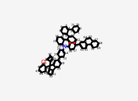 c1ccc(-c2ccccc2-c2ccccc2-c2ccccc2N(c2ccc(-c3ccc4c(c3)C3(c5ccccc5Oc5ccccc53)c3ccccc3-4)cc2)c2ccc(-c3ccc4c(ccc5ccccc54)c3)cc2)cc1